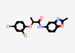 Cc1nc2cc(NC(=O)C(C)Oc3ccc(Cl)cc3Cl)ccc2o1